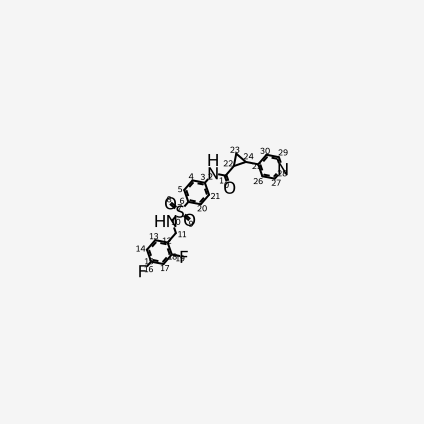 O=C(Nc1ccc(S(=O)(=O)NCc2ccc(F)cc2F)cc1)C1CC1c1ccncc1